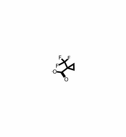 [O]C(=O)C1(C(F)(F)F)CC1